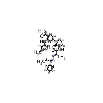 C=C/C(=C\C=C(/C)C(=O)N[C@@H]1CCCN(c2cnc(C(N)=O)c(Nc3cnn(C)c3)n2)[C@@H]1C)c1ncccn1